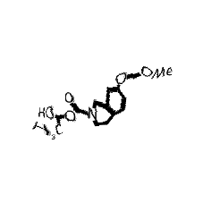 COCOc1ccc2c(c1)CN(C(=O)OC(C)O)CC2